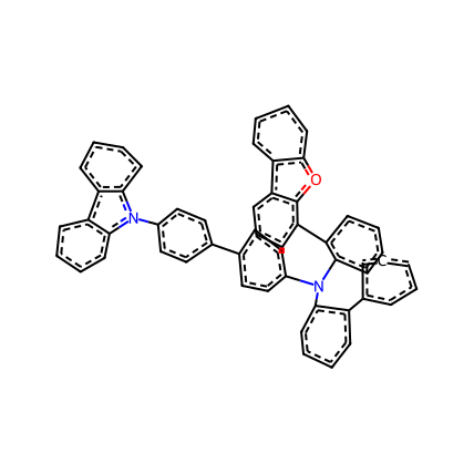 c1ccc(-c2ccccc2N(c2ccc(-c3ccc(-n4c5ccccc5c5ccccc54)cc3)cc2)c2ccccc2-c2cccc3c2oc2ccccc23)cc1